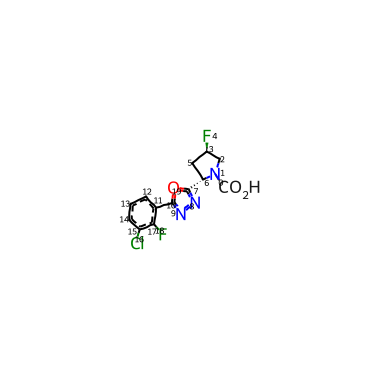 O=C(O)N1C[C@H](F)C[C@H]1c1nnc(-c2cccc(Cl)c2F)o1